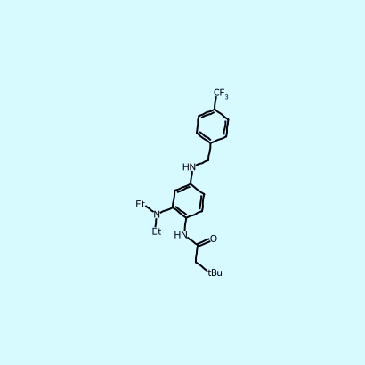 CCN(CC)c1cc(NCc2ccc(C(F)(F)F)cc2)ccc1NC(=O)CC(C)(C)C